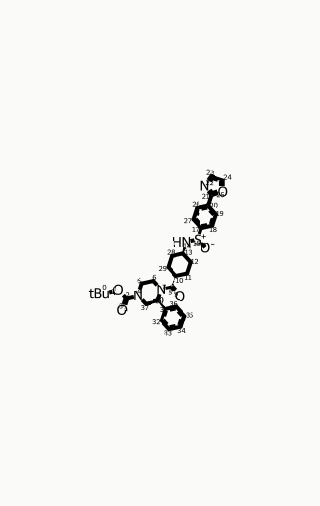 CC(C)(C)OC(=O)N1CCN(C(=O)[C@H]2CC[C@H](N[S+]([O-])c3ccc(-c4ncco4)cc3)CC2)[C@@H](c2ccccc2)C1